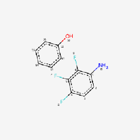 Nc1ccc(F)c(F)c1F.Oc1ccccc1